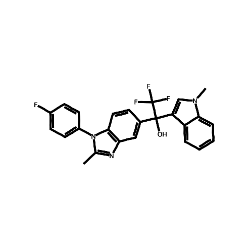 Cc1nc2cc(C(O)(c3cn(C)c4ccccc34)C(F)(F)F)ccc2n1-c1ccc(F)cc1